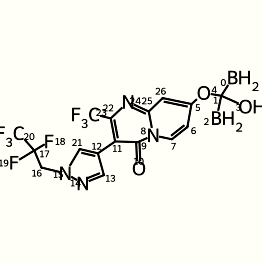 BC(B)(O)Oc1ccn2c(=O)c(-c3cnn(CC(F)(F)C(F)(F)F)c3)c(C(F)(F)F)nc2c1